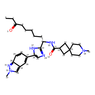 CCC(=O)CCCCC[C@H](NC(=O)C1CC2(CCN(C)CC2)C1)c1ncc(-c2ccc3nn(C)cc3c2)[nH]1